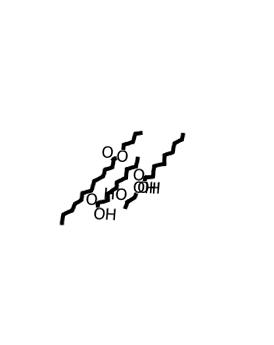 CC(O)CO.CCCCCCCCC(=O)O.CCCCCCCCC(=O)O.CCCCCCCCCCCC(=O)OCCCC